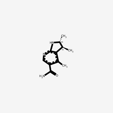 Cc1c(C(N)=O)cnc2c1[C@H](C)[C@@H](C)N2